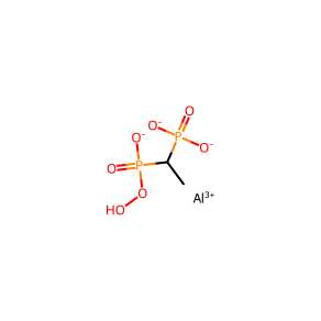 CC(P(=O)([O-])[O-])P(=O)([O-])OO.[Al+3]